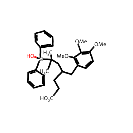 COc1ccc(CC(CCC(=O)O)CC(C)(C)[Si](O)(c2ccccc2)c2ccccc2)c(OC)c1OC